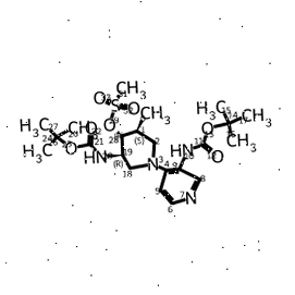 C[C@H]1CN(c2ccncc2NC(=O)OC(C)(C)C)C[C@@H](NC(=O)OC(C)(C)C)[C@@H]1OS(C)(=O)=O